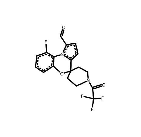 O=Cc1ccc2n1-c1c(F)cccc1OC21CCN(C(=O)C(F)(F)F)CC1